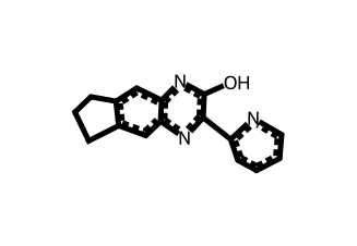 Oc1nc2cc3c(cc2nc1-c1ccccn1)CCC3